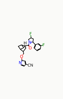 N#Cc1ccnc(OCC2C[C@H](C(=O)N3CC(F)CC3c3cccc(F)c3)C3CC2C3)c1